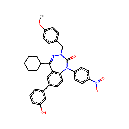 COc1ccc(CN2N=C(C3CCCCC3)c3cc(-c4cccc(O)c4)ccc3N(c3ccc([N+](=O)[O-])cc3)C2=O)cc1